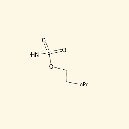 CCCCCOS([NH])(=O)=O